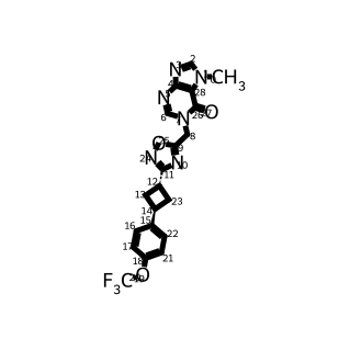 Cn1cnc2ncn(Cc3nc([C@H]4C[C@H](c5ccc(OC(F)(F)F)cc5)C4)no3)c(=O)c21